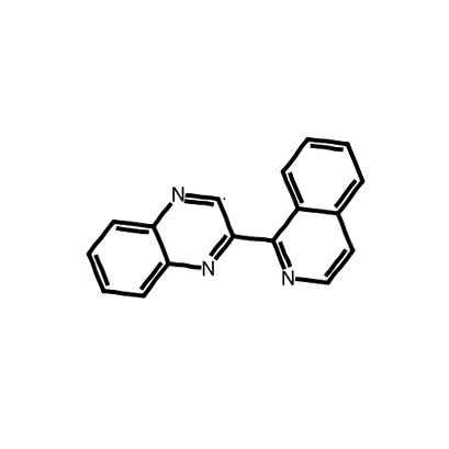 [c]1nc2ccccc2nc1-c1nccc2ccccc12